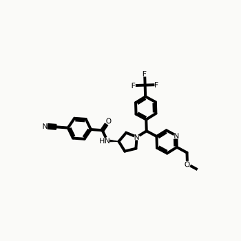 COCc1ccc(C(c2ccc(C(F)(F)F)cc2)N2CC[C@@H](NC(=O)c3ccc(C#N)cc3)C2)cn1